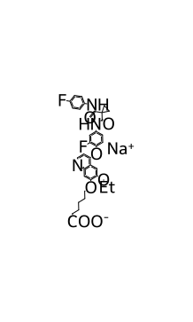 CCOc1cc2c(Oc3ccc(NC(=O)C4(C(=O)Nc5ccc(F)cc5)CC4)cc3F)ccnc2cc1OCCCCCC(=O)[O-].[Na+]